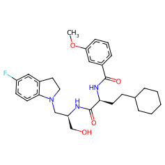 COc1cccc(C(=O)N[C@@H](CCC2CCCCC2)C(=O)N[C@@H](CO)CN2CCc3cc(F)ccc32)c1